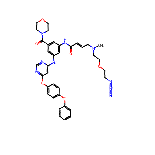 CN(C/C=C/C(=O)Nc1cc(Nc2cc(Oc3ccc(Oc4ccccc4)cc3)ncn2)cc(C(=O)N2CCOCC2)c1)CCOCCN=[N+]=[N-]